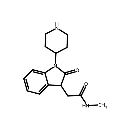 CNC(=O)CC1C(=O)N(C2CCNCC2)c2ccccc21